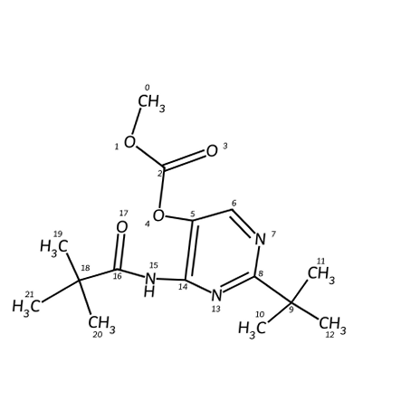 COC(=O)Oc1cnc(C(C)(C)C)nc1NC(=O)C(C)(C)C